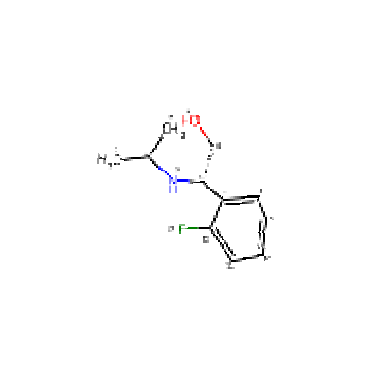 CC(C)N[C@H](CO)c1ccccc1F